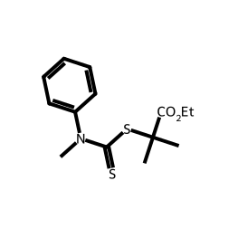 CCOC(=O)C(C)(C)SC(=S)N(C)c1ccccc1